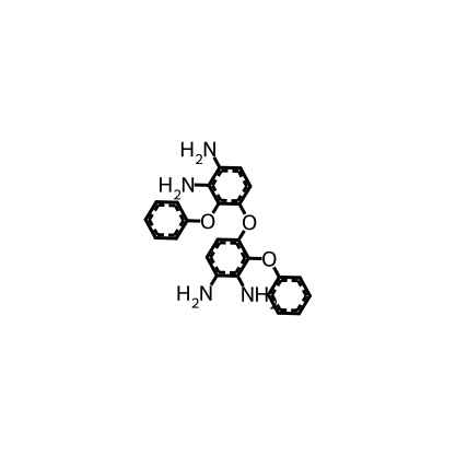 Nc1ccc(Oc2ccc(N)c(N)c2Oc2ccccc2)c(Oc2ccccc2)c1N